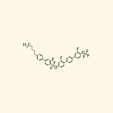 CCCCCc1ccc(-c2ccc(C(F)(F)Oc3ccc(-c4ccc(-c5ccc(OC(F)(F)F)c(F)c5)cc4)c(F)c3)c(F)c2)cc1